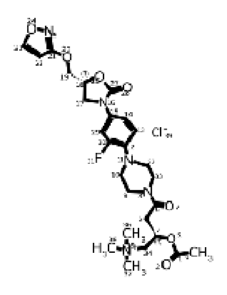 CC(=O)O[C@H](CC(=O)N1CCN(c2ccc(N3C[C@H](COc4ccon4)OC3=O)cc2F)CC1)C[N+](C)(C)C.[Cl-]